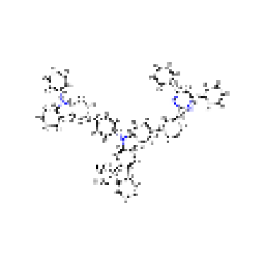 CC1(C)c2ccccc2-c2cc3c4cc(-c5cccc(-c6nc(-c7ccccc7)cc(-c7ccccc7)n6)c5)ccc4n(-c4ccc(-c5ccc6c(c5)c5ccccc5n6-c5ccccc5)cc4)c3cc21